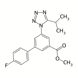 COC(=O)c1cc(-c2ccc(F)cc2)cc(-n2nnnc2C(C)C)c1